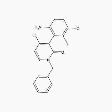 Nc1ccc(Cl)c(F)c1-c1c(Cl)cnn(Cc2ccccc2)c1=O